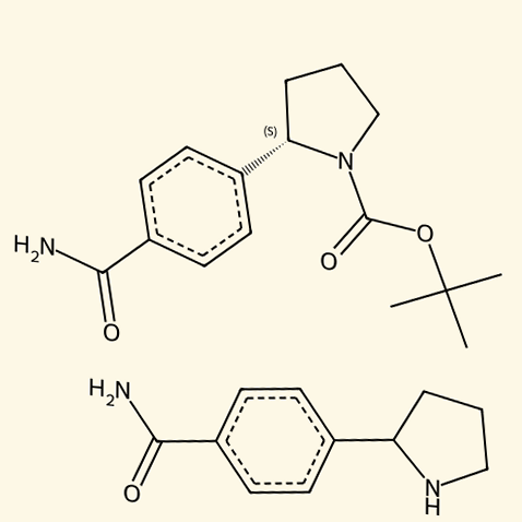 CC(C)(C)OC(=O)N1CCC[C@H]1c1ccc(C(N)=O)cc1.NC(=O)c1ccc(C2CCCN2)cc1